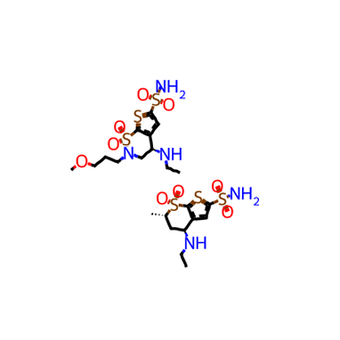 CCN[C@H]1CN(CCCOC)S(=O)(=O)c2sc(S(N)(=O)=O)cc21.CCN[C@H]1C[C@H](C)S(=O)(=O)c2sc(S(N)(=O)=O)cc21